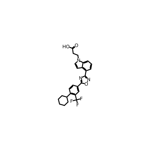 O=C(O)CCn1ccc2c(-c3noc(-c4ccc(C5CCCCC5)c(C(F)(F)F)c4)n3)cccc21